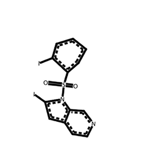 O=S(=O)(c1ccccc1I)n1c(I)cc2ccncc21